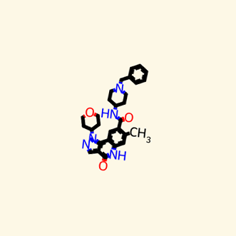 Cc1cc2[nH]c(=O)c3cnn(C4CCOCC4)c3c2cc1C(=O)NC1CCN(Cc2ccccc2)CC1